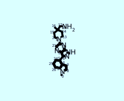 Cn1ccc2c(-c3n[nH]c4nc(N5CCC(C)(CN)CC5)cnc34)cccc21